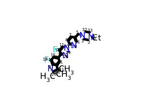 CCN1CCN(Cc2ccc(N3C=C(F)C(c4cc(F)c5c(c4)C(C)(C)C(C)=N5)=NC3)nc2)CC1